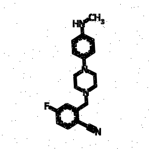 CNc1ccc(N2CCN(Cc3cc(F)ccc3C#N)CC2)cc1